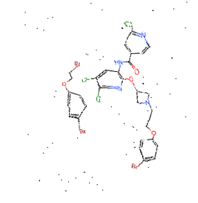 BrCCOc1ccc(Br)cc1.O=C(Nc1cc(Cl)c(Cl)nc1OC1CN(CCOc2ccc(Br)cc2)C1)c1ccnc(Cl)c1